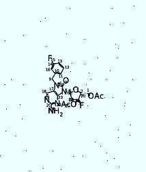 CC(=O)OC[C@H]1O[C@@H](n2c(=O)n(Cc3cccc(F)c3)c3cnc(N)nc32)[C@H](OC(C)=O)[C@@H]1F